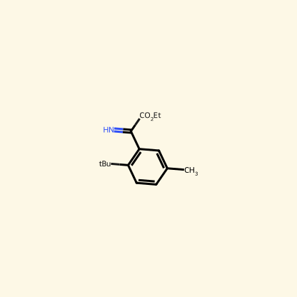 CCOC(=O)C(=N)c1cc(C)ccc1C(C)(C)C